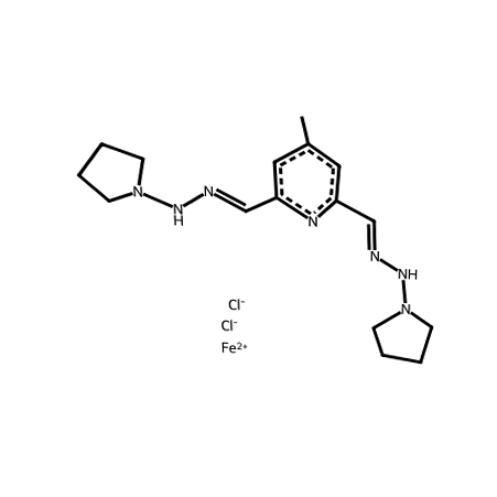 Cc1cc(C=NNN2CCCC2)nc(C=NNN2CCCC2)c1.[Cl-].[Cl-].[Fe+2]